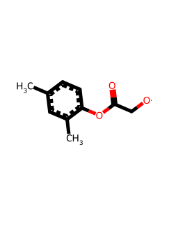 Cc1ccc(OC(=O)C[O])c(C)c1